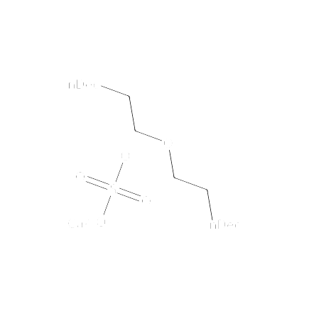 CCCCCCCCCCCCOCCCCCCCCCCCC.O=S(=O)([O-])[O-].[Ca+2]